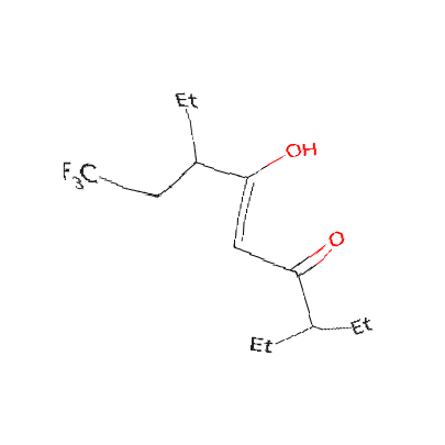 CCC(CC)C(=O)/C=C(\O)C(CC)CC(F)(F)F